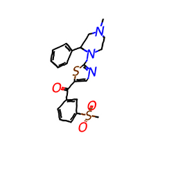 CN1CCN(c2ncc(C(=O)c3cccc(S(C)(=O)=O)c3)s2)C(c2ccccc2)C1